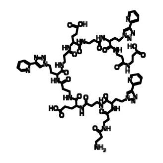 NCCC(=O)NCCC(=O)NC(CCn1cc(-c2ccccn2)nn1)C(=O)NCCC(=O)NC(CCC(=O)O)C(=O)NCCC(=O)NC(CCn1cc(-c2ccccn2)nn1)C(=O)NCCC(=O)NC(CCC(=O)O)C(=O)NCCC(=O)NC(CCn1cc(-c2ccccn2)nn1)C(=O)NCCC(=O)NCCC(=O)O